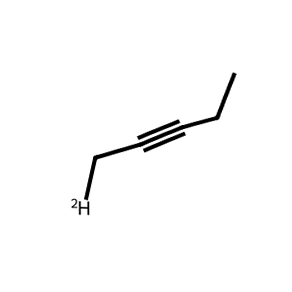 [2H]CC#CCC